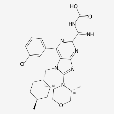 C[C@@H]1COC[C@H](C)N1c1nc2nc(C(=N)NC(=O)O)nc(-c3cccc(Cl)c3)c2n1C[C@H]1CC[C@H](C)CC1